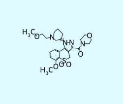 COCCN1CCC[C@H](n2nc(C(=O)N3CCOCC3)c3c2-c2cccc(OC)c2S(=O)(=O)C3)C1